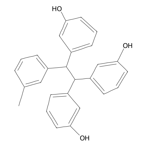 Cc1cccc(C(c2cccc(O)c2)C(c2cccc(O)c2)c2cccc(O)c2)c1